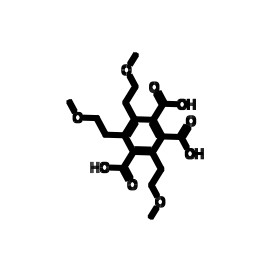 COCCc1c(CCOC)c(C(=O)O)c(C(=O)O)c(CCOC)c1C(=O)O